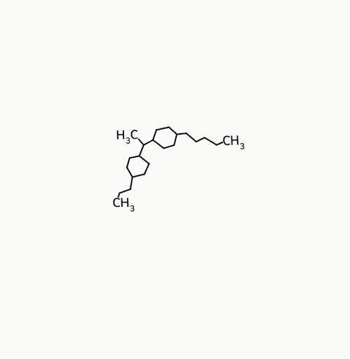 CCCCCC1CCC(C(C)C2CCC(CCC)CC2)CC1